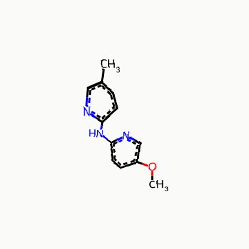 COc1ccc(Nc2ccc(C)cn2)nc1